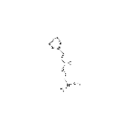 CN(C)CCOC(=O)C=Cc1ccccc1